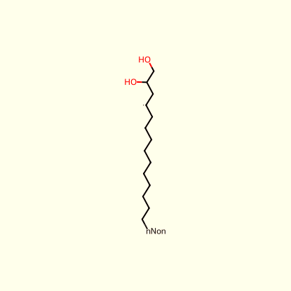 CCCCCCCCCCCCCCCCCCC[CH]CC(O)CO